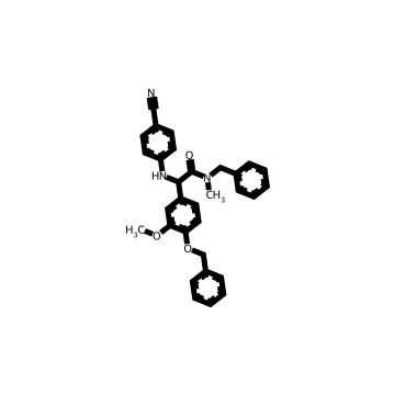 COc1cc(C(Nc2ccc(C#N)cc2)C(=O)N(C)Cc2ccccc2)ccc1OCc1ccccc1